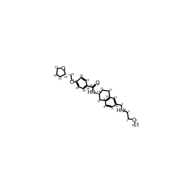 CCOCCNCc1ccc2c(c1)CC[C@H](NC(=O)c1ccc(OC[C@@H]3CCCO3)cc1)C2